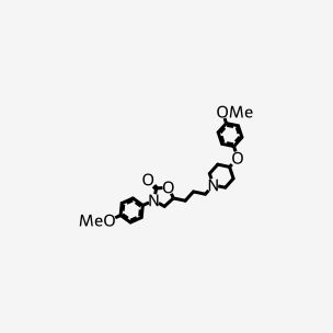 COc1ccc(OC2CCN(CCCC3CN(c4ccc(OC)cc4)C(=O)O3)CC2)cc1